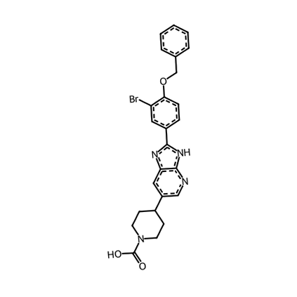 O=C(O)N1CCC(c2cnc3[nH]c(-c4ccc(OCc5ccccc5)c(Br)c4)nc3c2)CC1